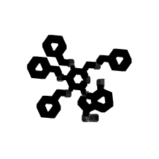 O=Cc1cn([C@@H]2O[C@H](COCc3ccccc3)[C@@H](OCc3ccccc3)[C@H](OCc3ccccc3)[C@H]2OCc2ccccc2)c2c(Cl)cccc12